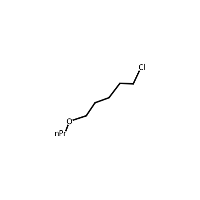 CCCOCCCCCCl